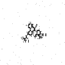 CC/C(=C(/c1ccc(/C=C/C(=O)O)cc1)c1ccc2[nH]ncc2c1OC)c1ccccc1